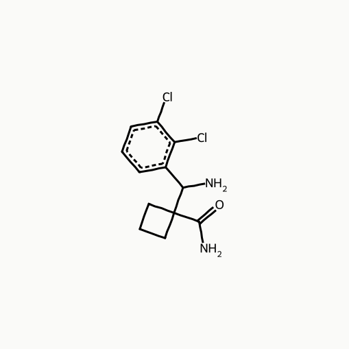 NC(=O)C1(C(N)c2cccc(Cl)c2Cl)CCC1